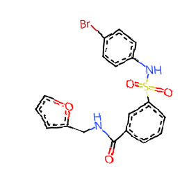 O=C(NCc1ccco1)c1cccc(S(=O)(=O)Nc2ccc(Br)cc2)c1